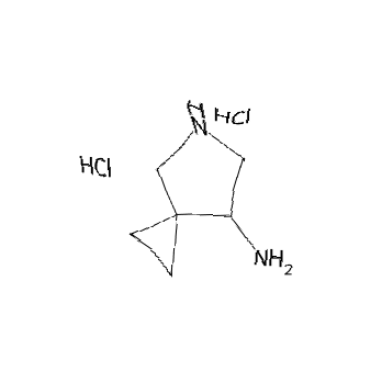 Cl.Cl.NC1CNCC12CC2